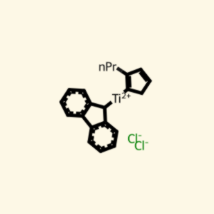 CCCC1=[C]([Ti+2][CH]2c3ccccc3-c3ccccc32)CC=C1.[Cl-].[Cl-]